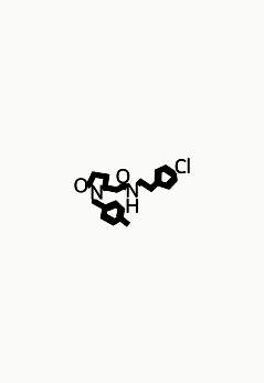 Cc1ccc(CN2C(=O)CCC2CC(=O)NCCc2ccc(Cl)cc2)cc1